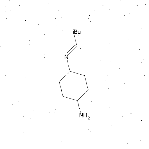 CCC(C)/C=N/C1CCC(N)CC1